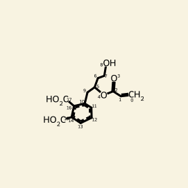 C=CC(=O)OC(CCO)Cc1cccc(C(=O)O)c1C(=O)O